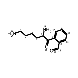 NCCCC[C@@H](N)C(=O)c1ccccc1[C]=O